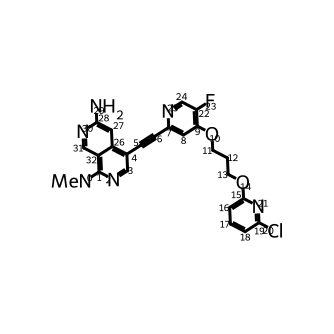 CNc1ncc(C#Cc2cc(OCCCOc3cccc(Cl)n3)c(F)cn2)c2cc(N)ncc12